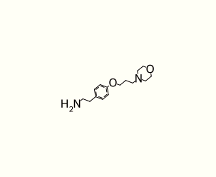 NCCc1ccc(OCCCN2CCOCC2)cc1